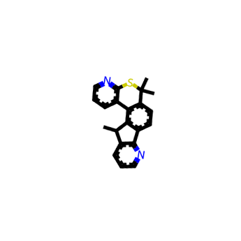 CC1c2cccnc2-c2ccc3c(c21)-c1cccnc1SC3(C)C